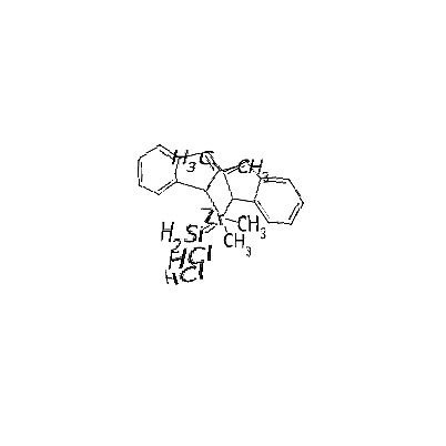 CC1=Cc2ccccc2[CH]1[Zr]([CH3])([CH3])(=[SiH2])[CH]1C(C)=Cc2ccccc21.Cl.Cl